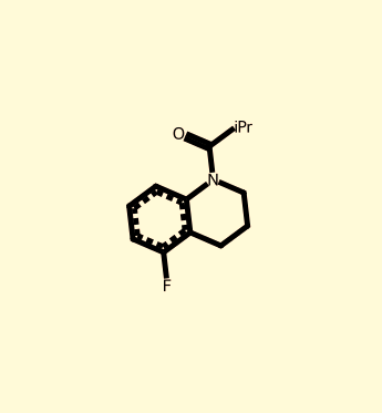 CC(C)C(=O)N1CCCc2c(F)cccc21